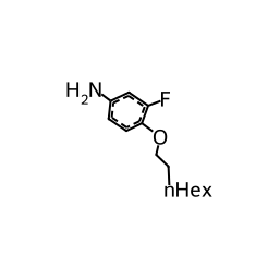 CCCCCCCCOc1ccc(N)cc1F